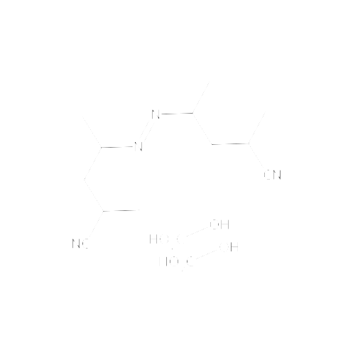 CC(C#N)CC(C)N=NC(C)CC(C)C#N.O=C(O)O.O=C(O)O